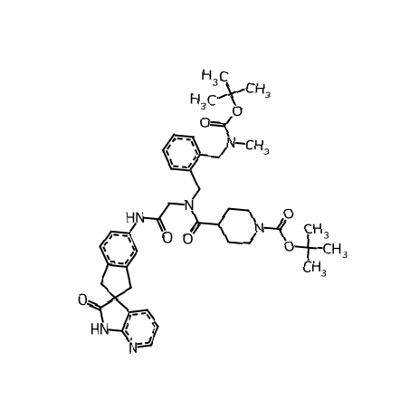 CN(Cc1ccccc1CN(CC(=O)Nc1ccc2c(c1)CC1(C2)C(=O)Nc2ncccc21)C(=O)C1CCN(C(=O)OC(C)(C)C)CC1)C(=O)OC(C)(C)C